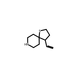 C=CC1CCSC12CCNCC2